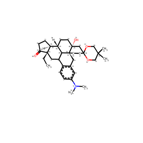 CC[C@]12CC3c4ccc(N(C)C)cc4C[C@]45CCC6(C[C@]4(O)CC[C@H](C35)[C@@H]1CCC2=O)OCC(C)(C)CO6